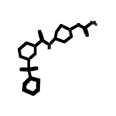 NC(=O)OC1CCC(NC(=O)C2CCCN(S(=O)(=O)c3ccccc3)C2)CC1